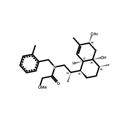 COCC(=O)N(Cc1ccccc1C)C[C@@H](C)[C@@H]1CC[C@@H](C)[C@]2(O)[C][C@@H](OC(C)=O)C(C)=C[C@H]12